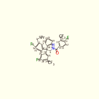 CC(C)Cc1cc(C(CNC(=O)c2ccc(F)c(C(F)(F)F)c2)(c2ccccc2)c2cc(F)cc(C(F)(F)F)c2)ccc1F